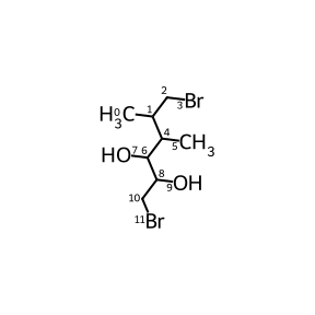 CC(CBr)C(C)C(O)C(O)CBr